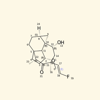 CO[C@@H]1CCC23CC[C@H]4C[C@@]4(C12)[C@H](O)C[C@@](C)(/C=C/F)C(=O)[C@@H]3C